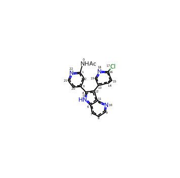 CC(=O)Nc1cc(-c2[nH]c3cccnc3c2-c2ccc(Cl)nc2)ccn1